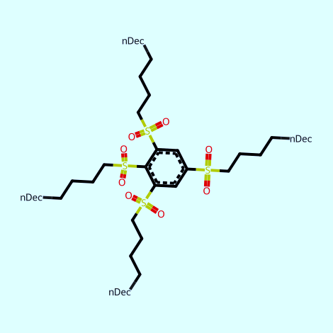 CCCCCCCCCCCCCCS(=O)(=O)c1cc(S(=O)(=O)CCCCCCCCCCCCCC)c(S(=O)(=O)CCCCCCCCCCCCCC)c(S(=O)(=O)CCCCCCCCCCCCCC)c1